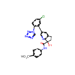 O=C(O)c1ccc(NC(=O)C2(O)CCc3cc(-c4cc(Cl)ccc4-n4cnnn4)cnc32)cc1